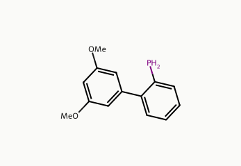 COc1cc(OC)cc(-c2ccccc2P)c1